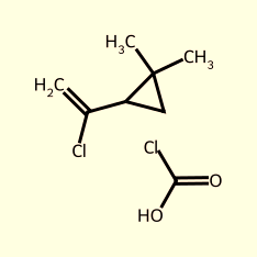 C=C(Cl)C1CC1(C)C.O=C(O)Cl